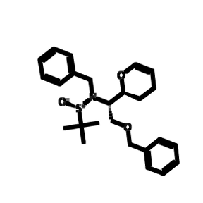 CC(C)(C)[S@@+]([O-])N(Cc1ccccc1)[C@@H](COCc1ccccc1)[C@@H]1CCC=CO1